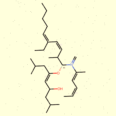 C=[N+](/C(C)=C/C=C\C)[C@H](O/C(=C\C(O)CC(C)C)CC(C)C)C(C)/C=C\C(=C/CCCC)CC